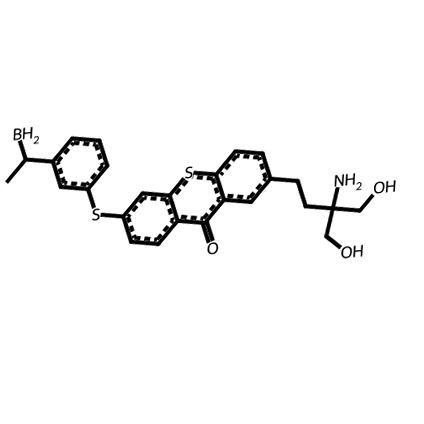 BC(C)c1cccc(Sc2ccc3c(=O)c4cc(CCC(N)(CO)CO)ccc4sc3c2)c1